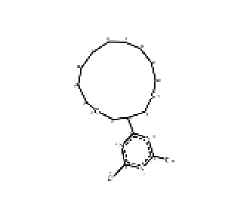 Clc1nc(Cl)nc(C2CCCCCCCCCCCCC2)n1